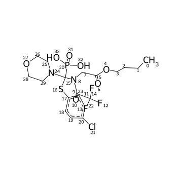 CCCCOC(=O)CN(C(=O)C(F)(F)F)C(Sc1ccc(Cl)cc1)(N1CCOCC1)P(=O)(O)O